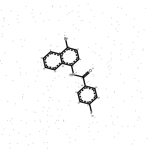 O=C(Nc1ccc(Br)c2ccccc12)c1ccc(F)cc1